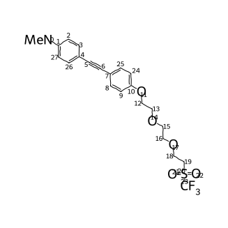 CNc1ccc(C#Cc2ccc(OCCOCCOCCS(=O)(=O)C(F)(F)F)cc2)cc1